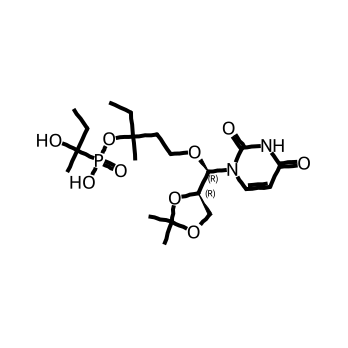 CCC(C)(CCO[C@H]([C@H]1COC(C)(C)O1)n1ccc(=O)[nH]c1=O)OP(=O)(O)C(C)(O)CC